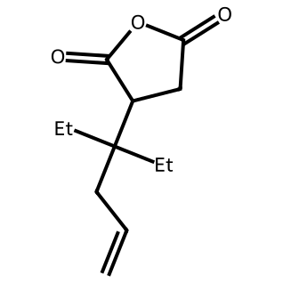 C=CCC(CC)(CC)C1CC(=O)OC1=O